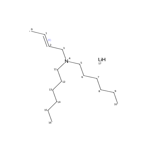 [CH2]/C=C/CN(CCCCCC)CCCCCC.[LiH]